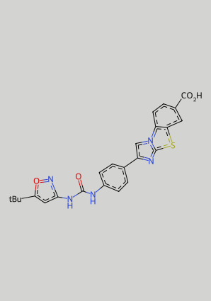 CC(C)(C)c1cc(NC(=O)Nc2ccc(-c3cn4c(n3)sc3cc(C(=O)O)ccc34)cc2)no1